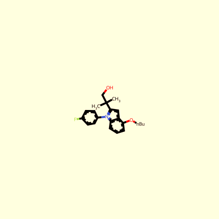 CCCCOc1cccc2c1cc(C(C)(C)CO)n2-c1ccc(F)cc1